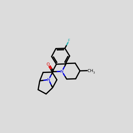 CC1CCN(C(=O)N2C3CCC2CC(c2ccc(F)cc2)C3)CC1